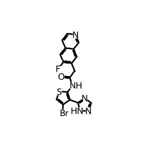 O=C(Cc1cc2cnccc2cc1F)Nc1scc(Br)c1-c1ncn[nH]1